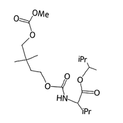 COC(=O)OCC(C)(C)CCOC(=O)NC(C(=O)OC(C)C(C)C)C(C)C